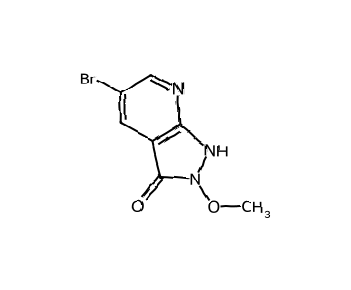 COn1[nH]c2ncc(Br)cc2c1=O